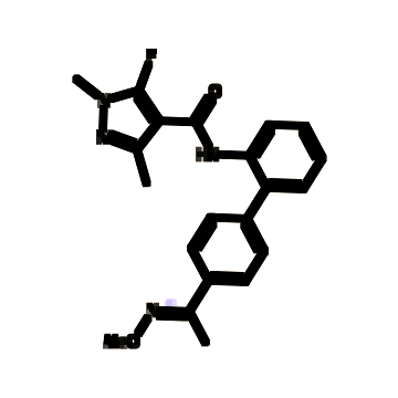 CO/N=C(\C)c1ccc(-c2ccccc2NC(=O)c2c(C)nn(C)c2F)cc1